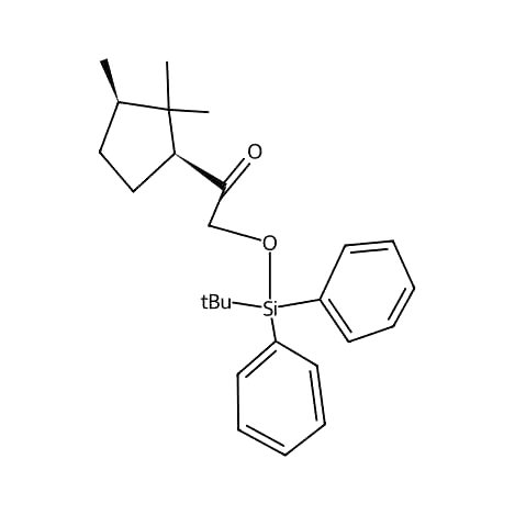 C[C@@H]1CC[C@H](C(=O)CO[Si](c2ccccc2)(c2ccccc2)C(C)(C)C)C1(C)C